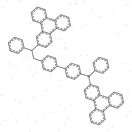 c1ccc(C(Cc2ccc(-c3ccc(N(c4ccccc4)c4ccc5c6ccccc6c6ccccc6c5c4)cc3)cc2)c2ccc3c4ccccc4c4ccccc4c3c2)cc1